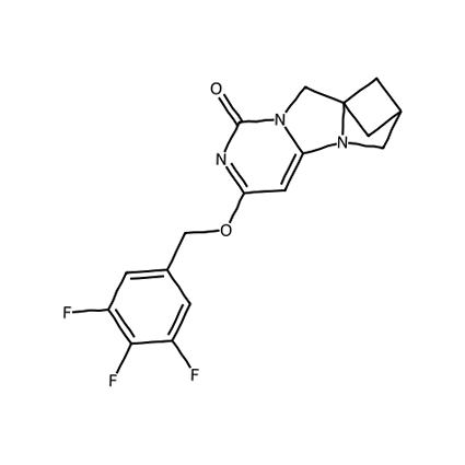 O=c1nc(OCc2cc(F)c(F)c(F)c2)cc2n1CC13CC(CN21)C3